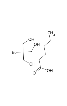 CCC(CO)(CO)CO.CCCCCC(=O)O